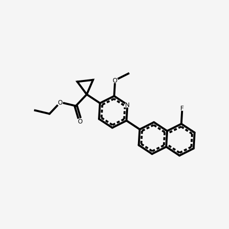 CCOC(=O)C1(c2ccc(-c3ccc4cccc(F)c4c3)nc2OC)CC1